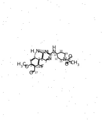 COc1ccc(-c2cnc(NC3CCN(S(C)(=O)=O)CC3)nc2N)c(F)c1C=O